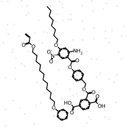 C=CC(=O)OCCCCCCCCCCCCOc1ccccc1.CCCCCCCCOc1cc(N)c(C(=O)Oc2ccc(COC(=O)c3cc(C(=O)O)ccc3C(=O)O)cc2)cc1[N+](=O)[O-]